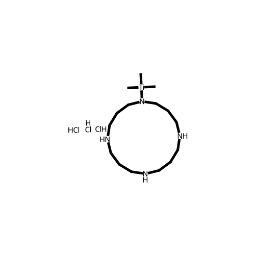 Cl.Cl.Cl.[CH3][Ti]([CH3])([CH3])[N]1CCCNCCCNCCCNCCC1